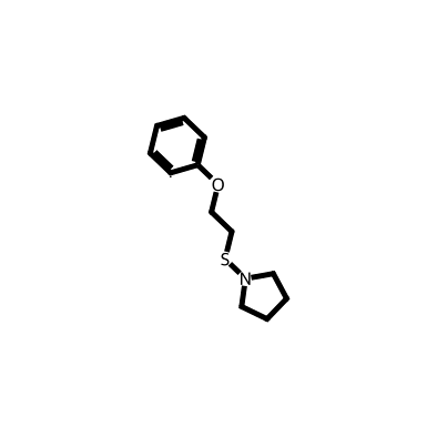 [c]1ccccc1OCCSN1CCCC1